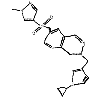 Cn1cc(S(=O)(=O)c2ccc3c(c2)C=NN(Cc2ccn(C4CC4)n2)C3)cn1